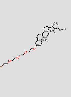 CC(C)CCCC(C)C1CCC2C3CC=C4C[C@@H](OCCOCCOCCOCCSC(C)C)CCC4(C)C3CCC12C